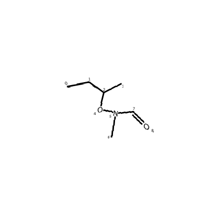 CCC(C)ON(C)C=O